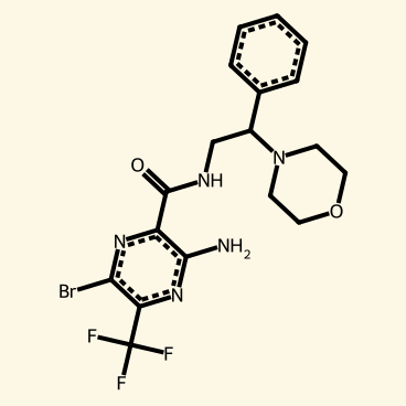 Nc1nc(C(F)(F)F)c(Br)nc1C(=O)NCC(c1ccccc1)N1CCOCC1